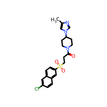 Cc1cn(C2CCN(C(=O)CCS(=O)(=O)c3ccc4cc(Cl)ccc4c3)CC2)cn1